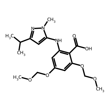 COCOc1cc(Nc2cc(C(C)C)nn2C)c(C(=O)O)c(OCOC)c1